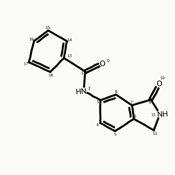 O=C(Nc1ccc2c(c1)C(=O)NC2)c1ccccc1